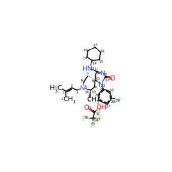 CC(C)=CCN1CC[C@]2(C[C@H]1C)C(NC1CCCCC1)=NC(=O)N2c1cccc(F)c1.O=C(O)C(F)(F)F